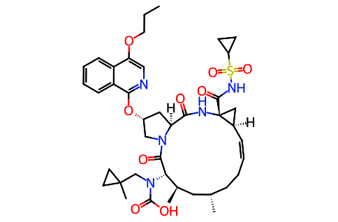 CCCOc1cnc(O[C@@H]2C[C@H]3C(=O)N[C@]4(C(=O)NS(=O)(=O)C5CC5)C[C@H]4C=CCC[C@H](C)C[C@@H](C)[C@H](N(CC4(C)CC4)C(=O)O)C(=O)N3C2)c2ccccc12